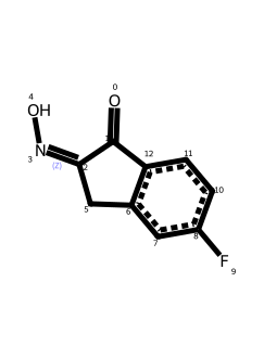 O=C1/C(=N\O)Cc2cc(F)ccc21